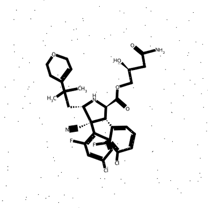 CC(C)(C[C@@H]1N[C@@H](C(=O)OC[C@@H](O)CC(N)=O)[C@H](c2cccc(Cl)c2F)[C@@]1(C#N)c1ccc(Cl)cc1F)C1=CCOCC1